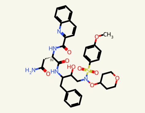 COc1ccc(S(=O)(=O)N(CC(O)C(Cc2ccccc2)NC(=O)[C@H](CC(N)=O)NC(=O)c2ccc3ccccc3n2)OC2CCOCC2)cc1